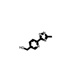 Cc1noc(-c2ccc(CO)cn2)n1